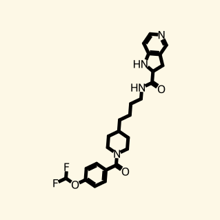 O=C(NCCCCC1CCN(C(=O)c2ccc(OC(F)F)cc2)CC1)C1Cc2cnccc2N1